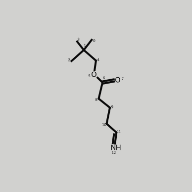 CC(C)(C)COC(=O)CCCC=N